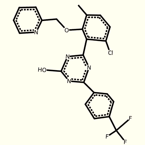 Cc1ccc(Cl)c(-c2nc(O)nc(-c3ccc(C(F)(F)F)cc3)n2)c1OCc1ccccn1